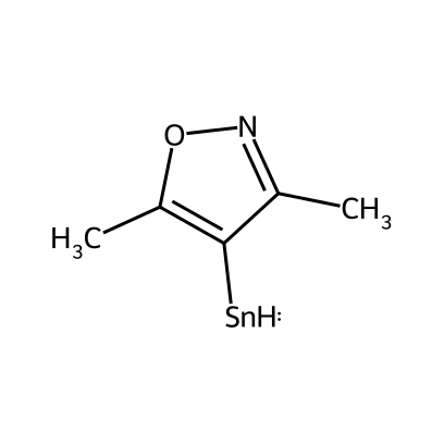 Cc1noc(C)[c]1[SnH]